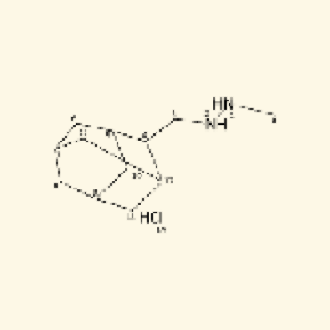 CNNCC1C2CC3CC(C2)CC1C3.Cl